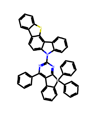 c1ccc(-c2nc(-n3c4ccccc4c4c5sc6ccccc6c5ccc43)nc3c2-c2ccccc2[Si]3(c2ccccc2)c2ccccc2)cc1